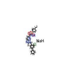 C=Cc1ccc(S(=O)(=O)NC(=O)c2ccc3nc(C)n(Cc4ccc(-c5ccccc5)cc4Cl)c3n2)cc1.[NaH]